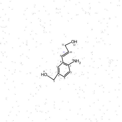 Nc1ccc(CO)cc1/C=C/CO